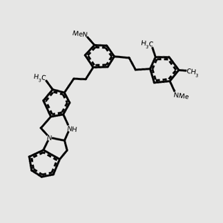 CNc1cc(CCc2cc(NC)c(C)cc2C)cc(CCc2cc3c(cc2C)CN2c4ccccc4CC2N3)c1